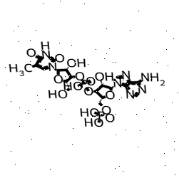 Cc1cn([C@H]2O[C@@H](CO)C(OP(=O)(O)OC3[C@@H](COP(=O)(O)O)O[C@@H](n4cnc5c(N)ncnc54)[C@H]3O)[C@H]2O)c(=O)[nH]c1=O